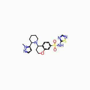 Cn1nccc1C1CCCCN1C1CCOc2cc(S(=O)(=O)Nc3ncns3)ccc21